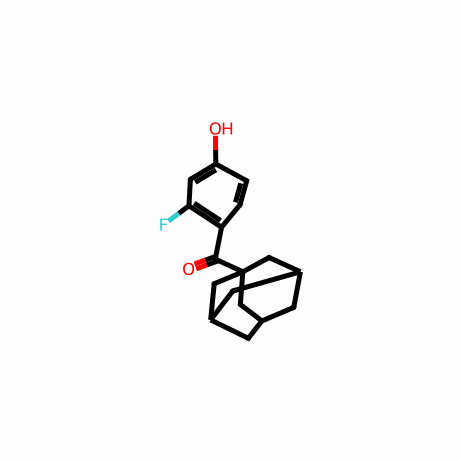 O=C(c1ccc(O)cc1F)C12CC3CC(CC(C3)C1)C2